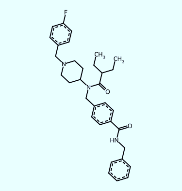 CCC(CC)C(=O)N(Cc1ccc(C(=O)NCc2ccccc2)cc1)C1CCN(Cc2ccc(F)cc2)CC1